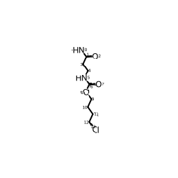 [NH]C(=O)CCNC(=O)OCCCCCl